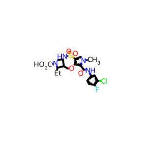 CCC1C2COc3c(cn(C)c3C(=O)Nc3ccc(F)c(Cl)c3)S(=O)(=O)NC2CN1C(=O)O